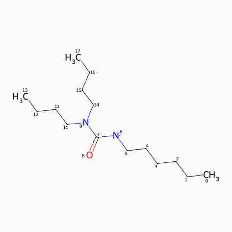 CCCCCC[N]C(=O)N(CCCC)CCCC